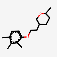 Cc1ccc(OCCC2CCC(C)OC2)c(C)c1C